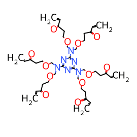 C=CC(=O)CCOCN(COCCC(=O)C=C)c1nc(N(COCCC(=O)C=C)COCCC(=O)C=C)nc(N(COCCC(=O)C=C)COCCC(=O)C=C)n1